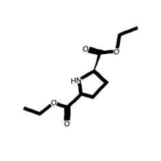 CCOC(=O)C1CC[C@H](C(=O)OCC)N1